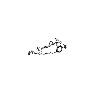 C=CCOCC=C.CC(C)CCCCCCCCCc1ccc(O)cc1